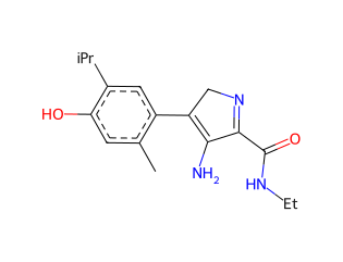 CCNC(=O)C1=NCC(c2cc(C(C)C)c(O)cc2C)=C1N